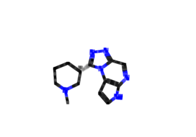 CN1CCC[C@H](c2nnc3cnc4[nH]ccc4n23)C1